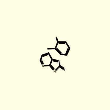 Cc1ccccc1C.O=C1N=c2cccnc2=N1